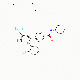 N=C(/C=C(\Nc1ccccc1Cl)c1ccc(C(=O)NC2CCCCC2)cc1)C(F)(F)F